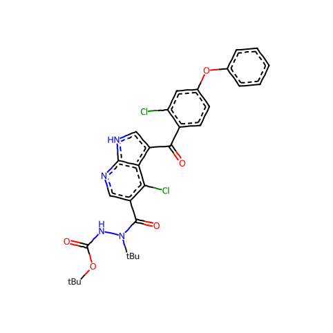 CC(C)(C)OC(=O)NN(C(=O)c1cnc2[nH]cc(C(=O)c3ccc(Oc4ccccc4)cc3Cl)c2c1Cl)C(C)(C)C